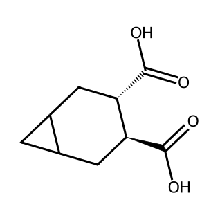 O=C(O)[C@H]1CC2CC2C[C@@H]1C(=O)O